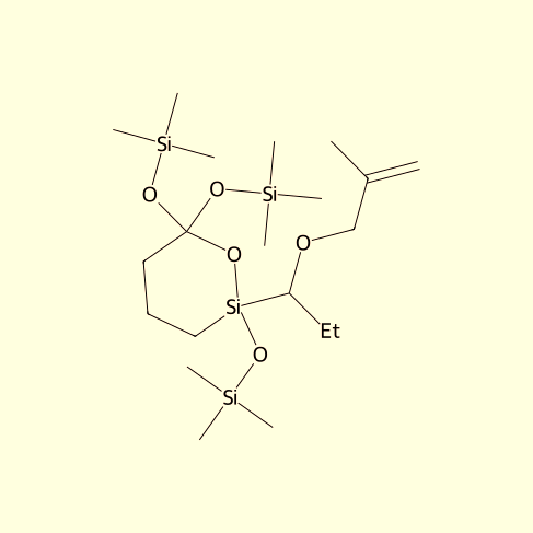 C=C(C)COC(CC)[Si]1(O[Si](C)(C)C)CCCC(O[Si](C)(C)C)(O[Si](C)(C)C)O1